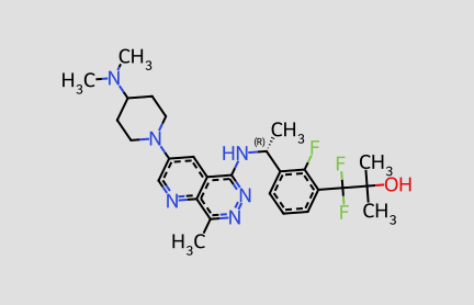 Cc1nnc(N[C@H](C)c2cccc(C(F)(F)C(C)(C)O)c2F)c2cc(N3CCC(N(C)C)CC3)cnc12